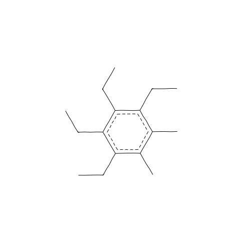 CCc1c(C)c(C)c(CC)c(CC)c1CC